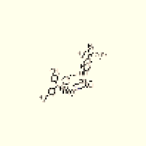 CCOC(=O)C(C)(C)c1cn2nc(NCCCN3CCC(OC(c4ccc(C)cc4)c4ccc(C)cc4)CC3)ccc2n1.O=C(O)/C=C/C(=O)O.O=C(O)/C=C/C(=O)O